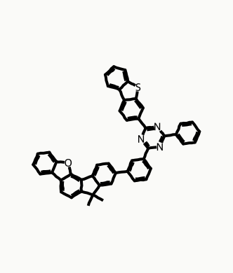 CC1(C)c2cc(-c3cccc(-c4nc(-c5ccccc5)nc(-c5ccc6c(c5)sc5ccccc56)n4)c3)ccc2-c2c1ccc1c2oc2ccccc21